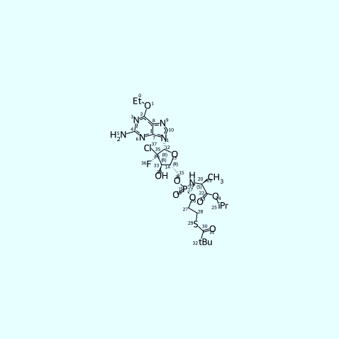 CCOc1nc(N)nc2c1ncn2[C@@H]1O[C@H](CO[P@@](=O)(N[C@@H](C)C(=O)OC(C)C)OCCSC(=O)C(C)(C)C)[C@@H](O)[C@@]1(F)Cl